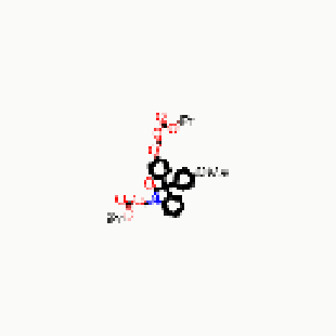 COc1ccc(C2(c3ccc(OCOC(=O)OC(C)C)cc3)C(=O)N(COC(=O)OC(C)C)c3ccccc32)cc1